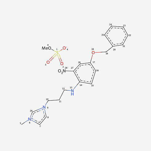 COS(=O)(=O)[O-].C[n+]1ccn(CCCNc2ccc(OCc3ccccc3)cc2[N+](=O)[O-])c1